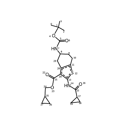 CC(C)(C)OC(=O)NC1CCc2sc(NC(=O)C3CC3)c(C(=O)OCC3CC3)c2C1